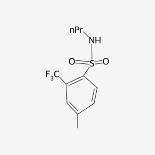 CCCNS(=O)(=O)c1ccc(C)cc1C(F)(F)F